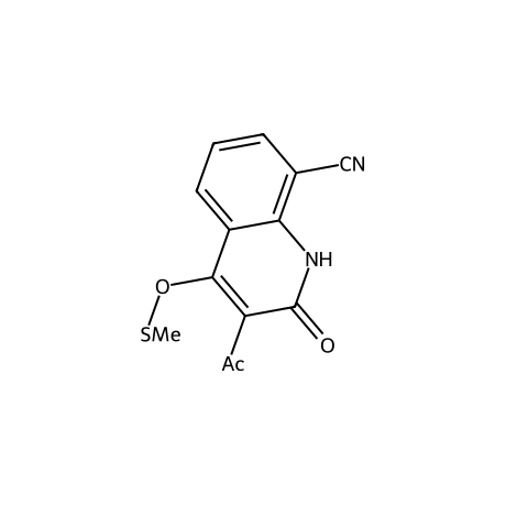 CSOc1c(C(C)=O)c(=O)[nH]c2c(C#N)cccc12